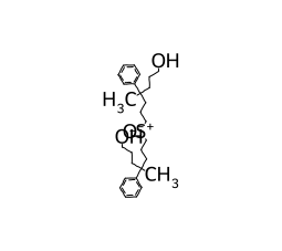 CC(CCCO)(CCC[S+]([O-])CCCC(C)(CCCO)c1ccccc1)c1ccccc1